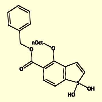 CCCCCCCCOc1c(C(=O)OCc2ccccc2)ccc2c1C=CS2(O)O